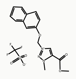 COC(=O)c1c[n+](COc2ccc3ccccc3c2)nn1C.O=S(=O)([O-])C(F)(F)F